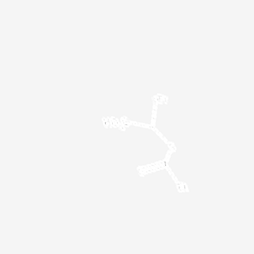 CCCC(SC(=S)CC)C(=O)O